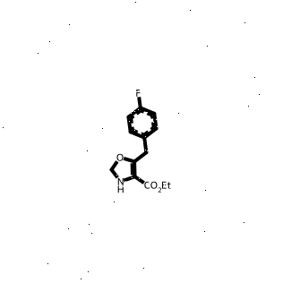 CCOC(=O)C1=C(Cc2ccc(F)cc2)OCN1